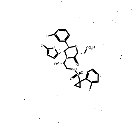 CC[C@@H](CNS(=O)(=O)C1(c2ccccc2F)CC1)N1C(=O)[C@@H](CC(=O)O)O[C@H](c2cccc(Cl)c2)[C@H]1c1ccc(Cl)s1